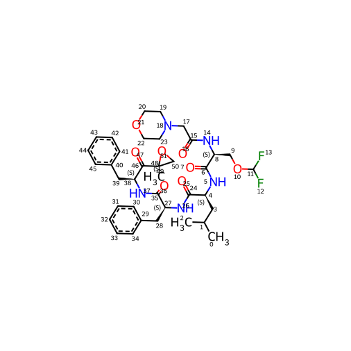 CC(C)C[C@H](NC(=O)[C@H](COC(F)F)NC(=O)CN1CCOCC1)C(=O)N[C@@H](Cc1ccccc1)C(=O)N[C@@H](Cc1ccccc1)C(=O)[C@]1(C)CO1